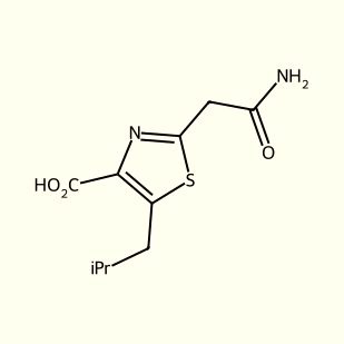 CC(C)Cc1sc(CC(N)=O)nc1C(=O)O